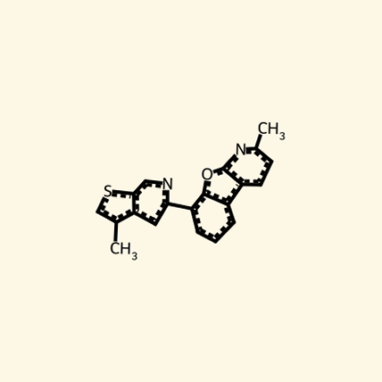 Cc1ccc2c(n1)oc1c(-c3cc4c(C)csc4cn3)cccc12